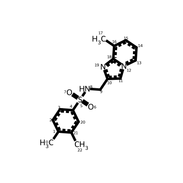 Cc1ccc(S(=O)(=O)NCc2cn3cccc(C)c3n2)cc1C